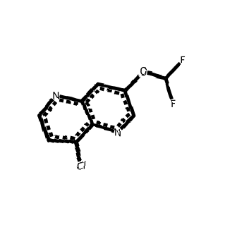 FC(F)Oc1cnc2c(Cl)ccnc2c1